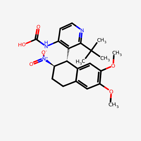 COc1cc2c(cc1OC)[C@@H](c1c(NC(=O)O)ccnc1C(C)(C)C)[C@H]([N+](=O)[O-])CC2